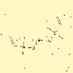 C=C[Si](C)(C)O[SiH2]O[Si](C)(C)C=C